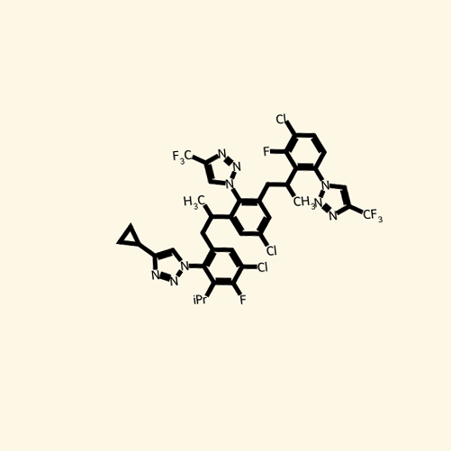 CC(C)c1c(F)c(Cl)cc(CC(C)c2cc(Cl)cc(CC(C)c3c(-n4cc(C(F)(F)F)nn4)ccc(Cl)c3F)c2-n2cc(C(F)(F)F)nn2)c1-n1cc(C2CC2)nn1